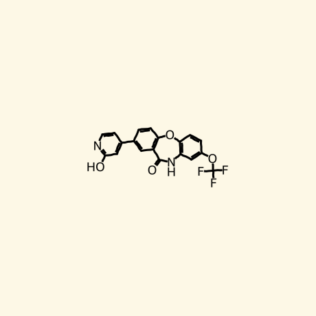 O=C1Nc2cc(OC(F)(F)F)ccc2Oc2ccc(-c3ccnc(O)c3)cc21